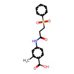 Cc1cc(NC(=O)CCS(=O)(=O)c2ccccc2)ccc1C(=O)O